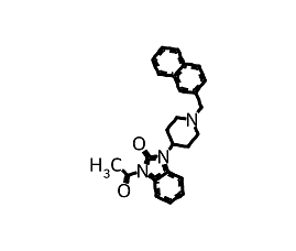 CC(=O)n1c(=O)n(C2CCN(Cc3ccc4ccccc4c3)CC2)c2ccccc21